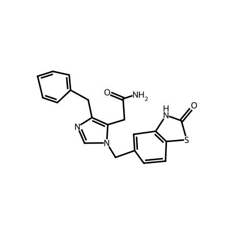 NC(=O)Cc1c(Cc2ccccc2)ncn1Cc1ccc2sc(=O)[nH]c2c1